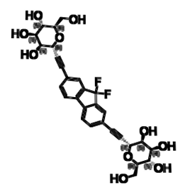 OC[C@H]1O[C@H](C#Cc2ccc3c(c2)C(F)(F)c2cc(C#C[C@H]4O[C@H](CO)[C@@H](O)[C@H](O)[C@@H]4O)ccc2-3)[C@@H](O)[C@@H](O)[C@@H]1O